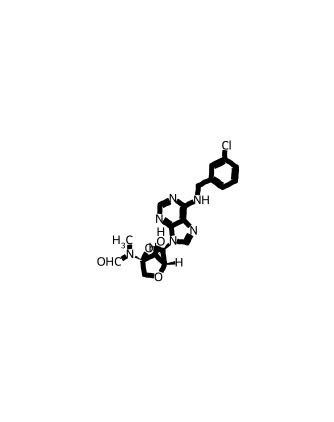 CN(C=O)[C@]12CO[C@@H]([C@H](n3cnc4c(NCc5cccc(Cl)c5)ncnc43)O1)[C@H]2O